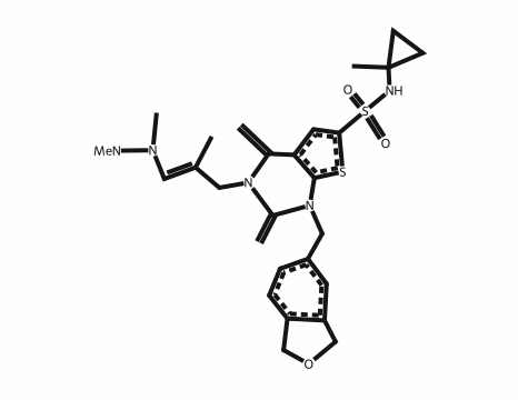 C=C1c2cc(S(=O)(=O)NC3(C)CC3)sc2N(Cc2ccc3c(c2)COC3)C(=C)N1C/C(C)=C/N(C)NC